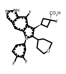 O=C(O)[C@]1(F)C[C@@H](c2c(C3CCOCC3)n(-c3ccc(F)c(F)c3)c3cc4cn[nH]c4c(F)c32)C1